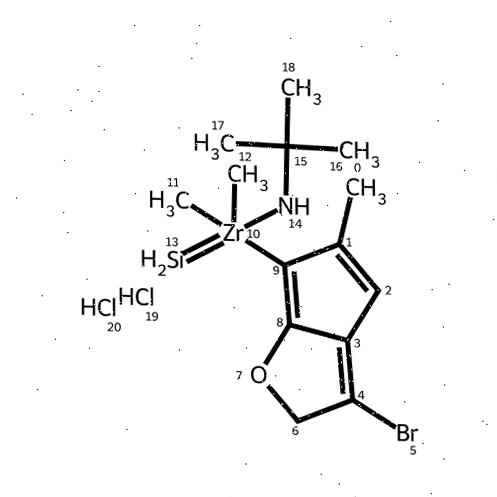 CC1=CC2=C(Br)COC2=[C]1[Zr]([CH3])([CH3])(=[SiH2])[NH]C(C)(C)C.Cl.Cl